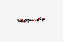 Cc1ccc(NS(=O)(=O)c2ccc(CNC(=O)COCCOCCOCCOc3cc(CN4CCC(Oc5ccnc6ccsc56)CC4)on3)cc2)c2[nH]cc(C#N)c12